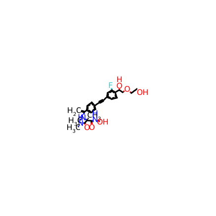 C=C(c1ccc(C#Cc2ccc(C(O)COCCO)c(F)c2)cc1)N(C)[C@@](C)(C(=O)NC)C(=O)NO